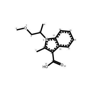 COCC(C)n1c(C)c(C(=O)O)c2ccccc21